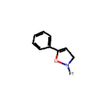 CCN1CC=C(c2ccccc2)O1